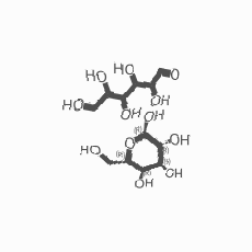 O=CC(O)C(O)C(O)C(O)CO.OC[C@H]1O[C@@H](O)[C@H](O)[C@@H](O)[C@H]1O